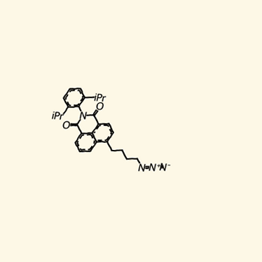 CC(C)c1cccc(C(C)C)c1N1C(=O)c2cccc3c(CCCCN=[N+]=[N-])ccc(c23)C1=O